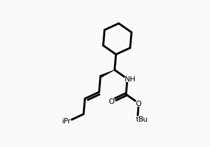 CC(C)CC=CC[C@H](NC(=O)OC(C)(C)C)C1CCCCC1